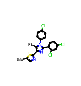 CCc1c(-c2ncc(C(C)(C)C)s2)nc(-c2ccc(Cl)cc2Cl)n1-c1ccc(Cl)cc1